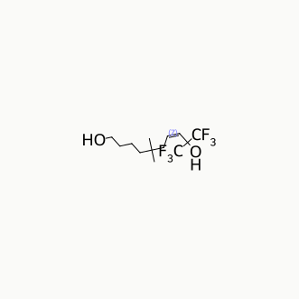 CC(C)(C/C=C\C(O)(C(F)(F)F)C(F)(F)F)CCCCO